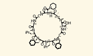 CC(C)C[C@H]1C(=O)N(C)[C@@H](Cc2ccccc2)C(=O)N(C)[C@@H](CC(C)C)C(=O)N[C@@H](Cc2ccccc2)CC(=O)N[C@@H]([C@@H](C)O)C(=O)N(C)C[C@@H](C)C(=O)N[C@H](C(=O)N2CCCCC2)C(=O)N(C)CC(=O)N[C@@H](C)C(=O)N1C